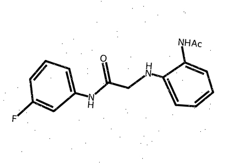 CC(=O)Nc1ccccc1NCC(=O)Nc1cccc(F)c1